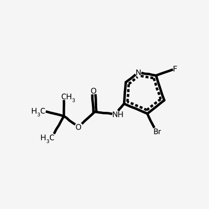 CC(C)(C)OC(=O)Nc1cnc(F)cc1Br